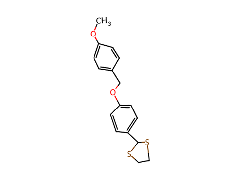 COc1ccc(COc2ccc(C3SCCS3)cc2)cc1